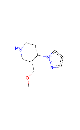 COCC1CNCCC1n1c[c]cn1